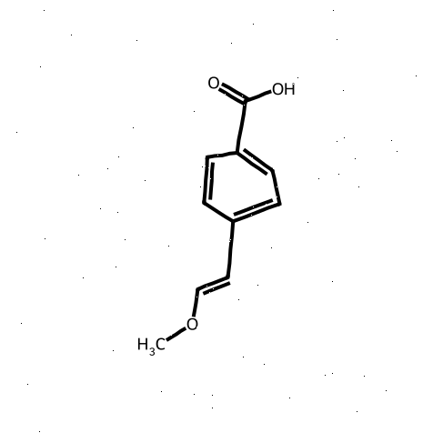 CO/C=C/c1ccc(C(=O)O)cc1